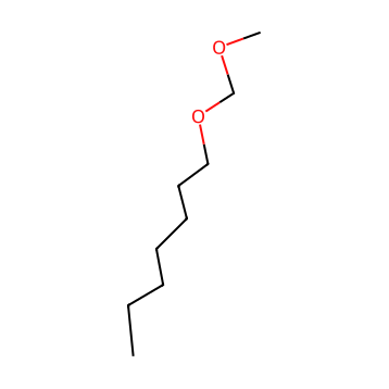 CCCCCCCOCOC